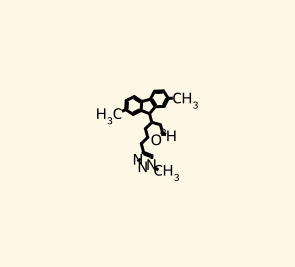 [2H]C(=O)CC(CCCc1cn(C)nn1)C1c2cc(C)ccc2-c2ccc(C)cc21